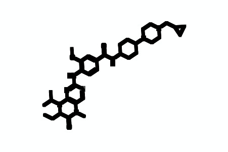 CCC1C(=O)N(C)c2cnc(Nc3ccc(C(=O)NC4CCC(N5CCN(CC6CC6)CC5)CC4)cc3OC)nc2N1C(C)C